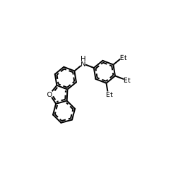 CCc1cc(Nc2ccc3oc4ccccc4c3c2)cc(CC)c1CC